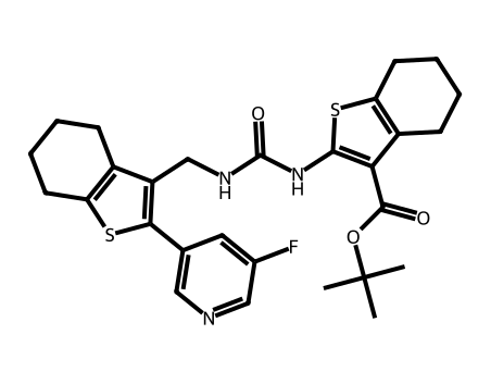 CC(C)(C)OC(=O)c1c(NC(=O)NCc2c(-c3cncc(F)c3)sc3c2CCCC3)sc2c1CCCC2